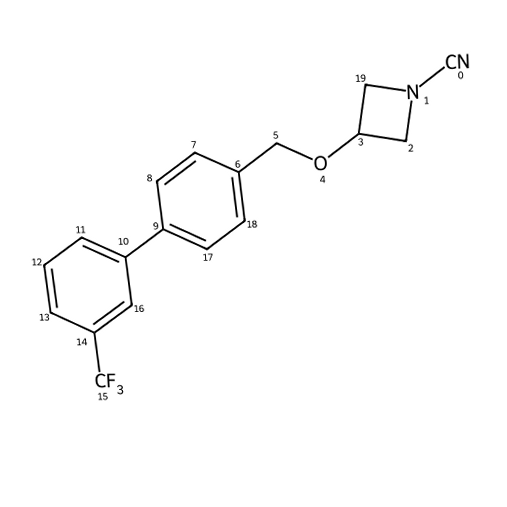 N#CN1CC(OCc2ccc(-c3cccc(C(F)(F)F)c3)cc2)C1